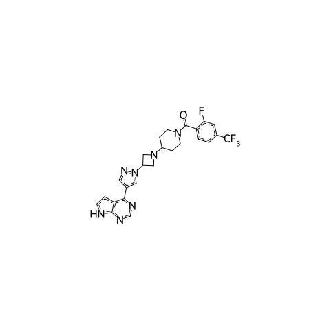 O=C(c1ccc(C(F)(F)F)cc1F)N1CCC(N2CC(n3cc(-c4ncnc5[nH]ccc45)cn3)C2)CC1